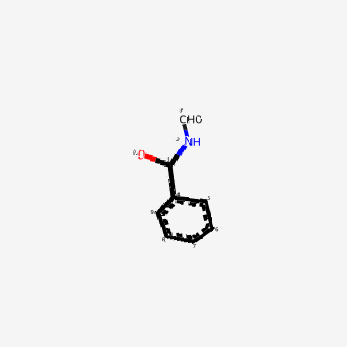 [O]C(NC=O)c1ccccc1